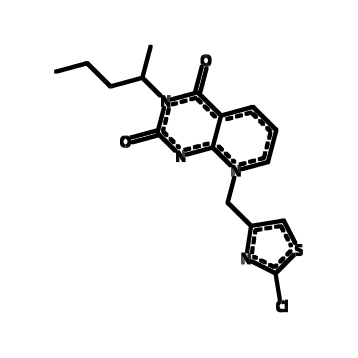 CCCC(C)n1c(=O)nc2n(Cc3csc(Cl)n3)cccc-2c1=O